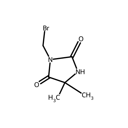 CC1(C)NC(=O)N(CBr)C1=O